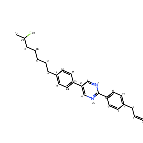 C=CCc1ccc(-c2ncc(-c3ccc(CCCCCC(C)F)cc3)cn2)cc1